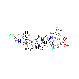 C[C@@]1(c2ccc(Cl)cn2)Oc2cccc(N3CCN(Cc4nc5c(F)cc(C(=O)O)cc5n4C[C@@H]4CCO4)[C@@H]4CC[C@@H]43)c2O1